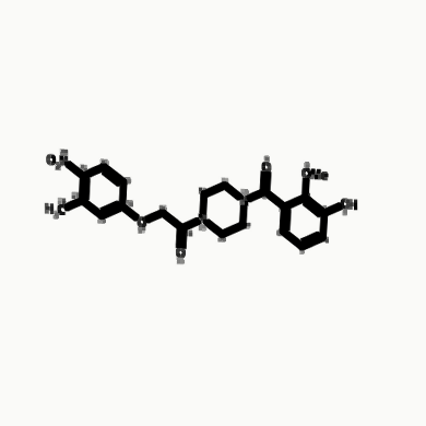 COc1c(O)cccc1C(=O)N1CCN(C(=O)COc2ccc([N+](=O)[O-])c(C)c2)CC1